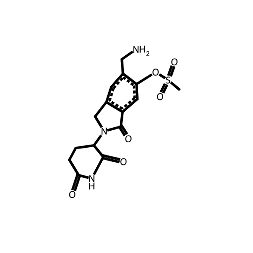 CS(=O)(=O)Oc1cc2c(cc1CN)CN(C1CCC(=O)NC1=O)C2=O